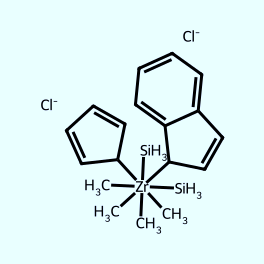 [CH3][Zr]([CH3])([CH3])([CH3])([SiH3])([SiH3])([CH]1C=CC=C1)[CH]1C=Cc2ccccc21.[Cl-].[Cl-]